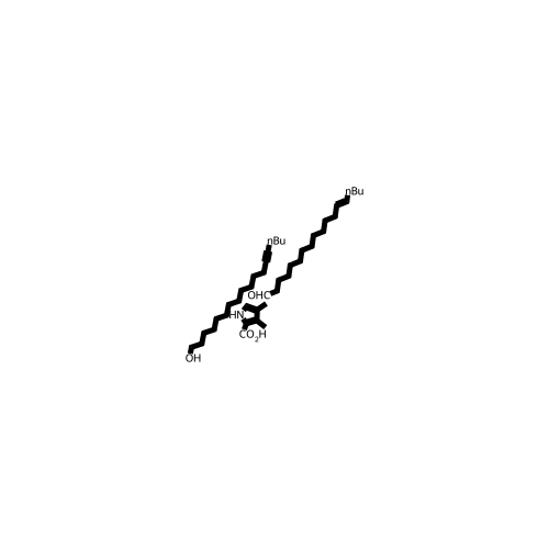 CCCCC#CCCCCCCCCCCCCO.CCCCC=CCCCCCCCCCCCC=O.Cc1c[nH]c(C(=O)O)c1C